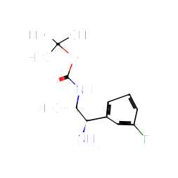 C[C@H](NC(=O)OC(C)(C)C)[C@H](N)c1cccc(F)c1